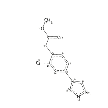 COC(=O)Cc1ccc(-n2cnnn2)cc1Cl